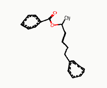 N#CC(CCCCc1ccccc1)OC(=O)c1ccccc1